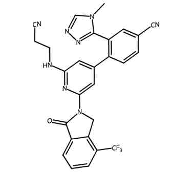 Cn1cnnc1-c1cc(C#N)ccc1-c1cc(NCCC#N)nc(N2Cc3c(cccc3C(F)(F)F)C2=O)c1